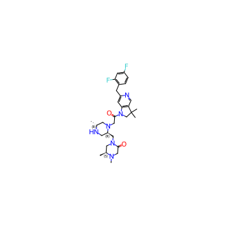 C[C@@H]1CN(CC(=O)N2CC(C)(C)c3cnc(Cc4ccc(F)cc4F)cc32)[C@@H](CN2C[C@H](C)N(C)CC2=O)CN1